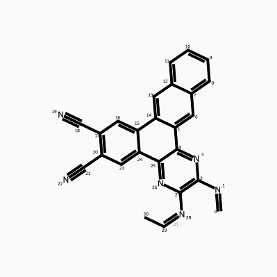 C=Nc1nc2c3cc4ccccc4cc3c3cc(C#N)c(C#N)cc3c2nc1/N=C\C